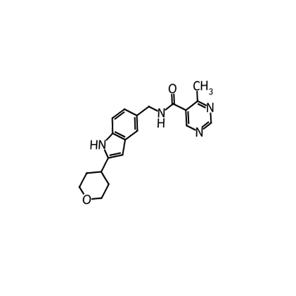 Cc1ncncc1C(=O)NCc1ccc2[nH]c(C3CCOCC3)cc2c1